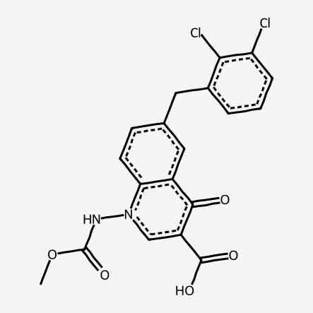 COC(=O)Nn1cc(C(=O)O)c(=O)c2cc(Cc3cccc(Cl)c3Cl)ccc21